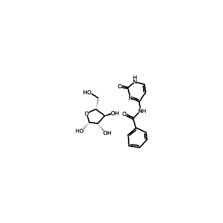 O=C(Nc1cc[nH]c(=O)n1)c1ccccc1.OC[C@H]1O[C@@H](O)[C@@H](O)[C@@H]1O